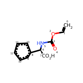 C=COC(=O)N[C@@H](C(=O)O)c1ccccc1